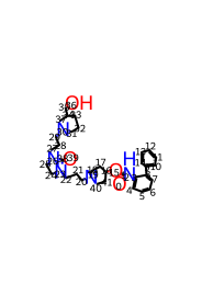 O=C(Nc1ccccc1-c1ccccc1)OC1CCN(CCCN2CCN(CCCN3CCCC(CO)C3)C2=O)CC1